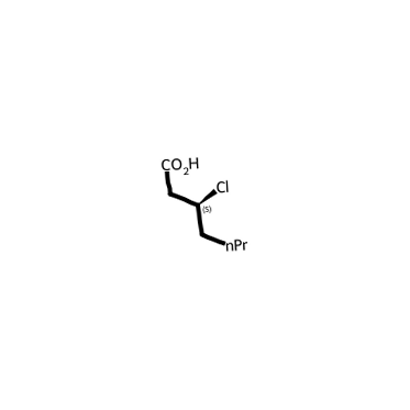 CCCC[C@H](Cl)CC(=O)O